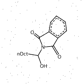 CCCCCCCCC(O)N1C(=O)c2ccccc2C1=O